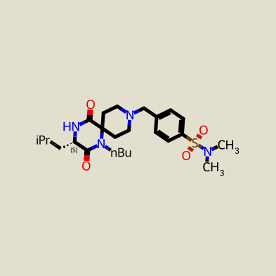 CCCCN1C(=O)[C@H](CC(C)C)NC(=O)C12CCN(Cc1ccc(S(=O)(=O)N(C)C)cc1)CC2